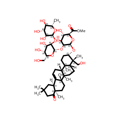 COC(=O)[C@H]1O[C@@H](O[C@H]2CC[C@@]3(C)[C@@H](CC[C@]4(C)[C@@H]3CC=C3[C@@H]5CC(C)(C)CC(=O)[C@]5(C)CC[C@]34C)[C@@]2(C)CO)[C@H](O[C@@H]2O[C@H](CO)[C@H](O)[C@H](O)[C@H]2O[C@@H]2O[C@@H](C)[C@H](O)[C@@H](O)[C@H]2O)[C@@H](O)[C@@H]1O